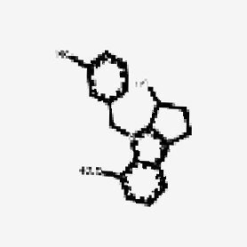 CCCC1CCc2c1n(Cc1cccc(C#N)c1)c1c(C(=O)O)cccc21